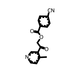 Cc1ccncc1C(=O)COC(=O)c1ccc(C#N)cc1